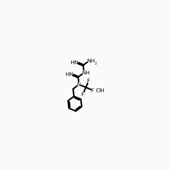 Cl.N=C(N)NC(=N)N(Cc1ccccc1)C(F)(F)F